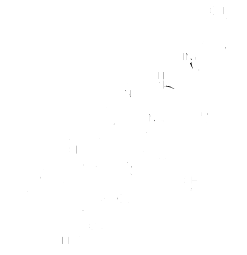 C=CC(=O)N[C@H]1CCOC[C@H]1Nc1ncc2cc(-c3c(Cl)c(OC)cc(OC)c3Cl)nc(OCC)c2n1